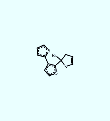 BrC1(c2sccc2-c2cccs2)CC=CS1